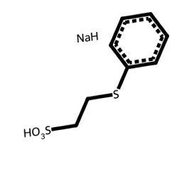 O=S(=O)(O)CCSc1ccccc1.[NaH]